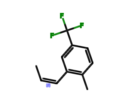 C/C=C\c1cc(C(F)(F)F)ccc1C